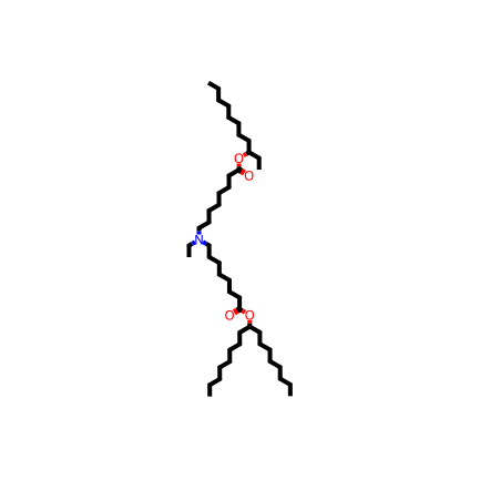 CCCCCCCCC(CC)OC(=O)CCCCCCCN(CC)CCCCCCCC(=O)OC(CCCCCCCC)CCCCCCCC